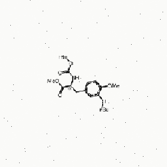 CCCCOc1cc(C[C@H](NC(=O)OC(C)(C)C)C(=O)OC)ccc1OC